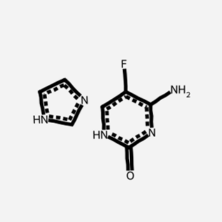 Nc1nc(=O)[nH]cc1F.c1c[nH]cn1